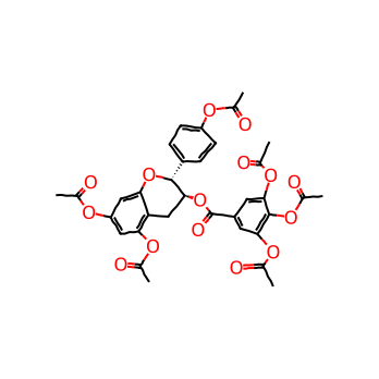 CC(=O)Oc1ccc([C@H]2Oc3cc(OC(C)=O)cc(OC(C)=O)c3C[C@@H]2OC(=O)c2cc(OC(C)=O)c(OC(C)=O)c(OC(C)=O)c2)cc1